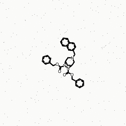 O=C(OCc1ccccc1)N1C2CC(CN(Cc3ccc4ccccc4c3)C2)N1C(=O)OCc1ccccc1